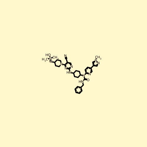 Cn1cc(-c2ccc(N(C(=O)NCc3ccccc3)C3CCC(Nc4ncc(C#N)c(N5CCC(N=[SH](C)(C)O)CC5)n4)CC3)nc2)cn1